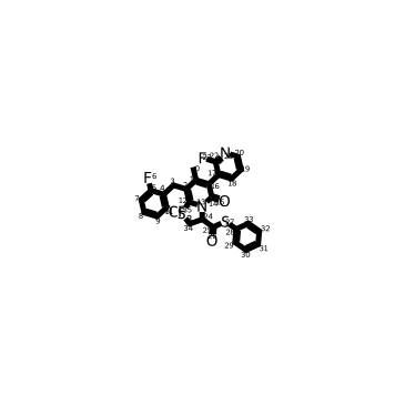 Cc1c(Cc2c(F)cccc2C(F)(F)F)c2n(c(=O)c1-c1cccnc1F)C(C(=O)Sc1ccccc1)CS2